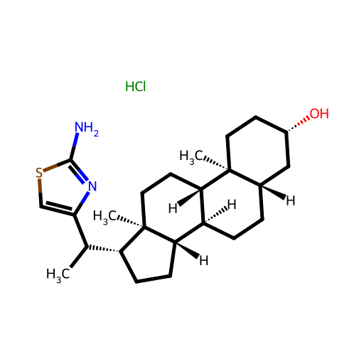 CC(c1csc(N)n1)[C@H]1CC[C@H]2[C@@H]3CC[C@H]4C[C@@H](O)CC[C@]4(C)[C@H]3CC[C@]12C.Cl